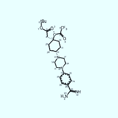 CC(C)(C)OC(=O)C[C@]1(OC(=O)C(F)(F)F)CC[C@H](N2CCN(c3ccc(C(=N)N)cc3)CC2)CC1